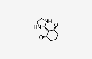 O=C1CCCC(=O)C1=C1NCCN1